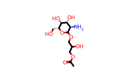 CC(=O)OCC(O)COC1O[C@H](CO)[C@@H](O)[C@H](O)[C@H]1N